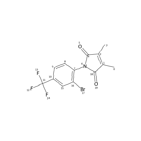 CC1=C(C)C(=O)N(c2ccc(C(F)(F)F)cc2Br)C1=O